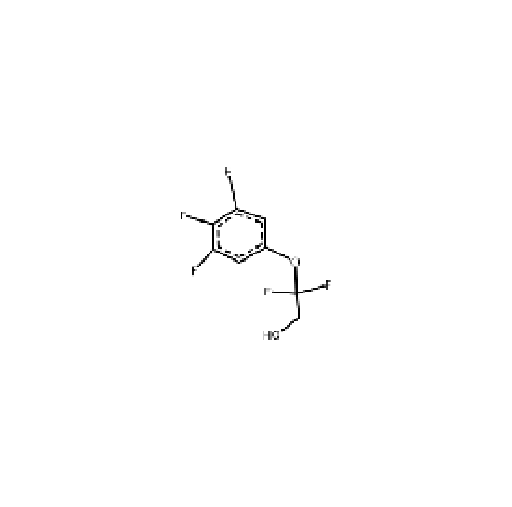 OCC(F)(F)Oc1cc(F)c(F)c(F)c1